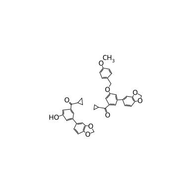 COc1ccc(COc2cc(C(=O)C3CC3)cc(-c3ccc4c(c3)OCO4)c2)cc1.O=C(c1cc(O)cc(-c2ccc3c(c2)OCO3)c1)C1CC1